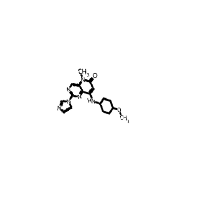 COC1CCC(Nc2cc(=O)n(C)c3cnc(-n4ccnc4)nc23)CC1